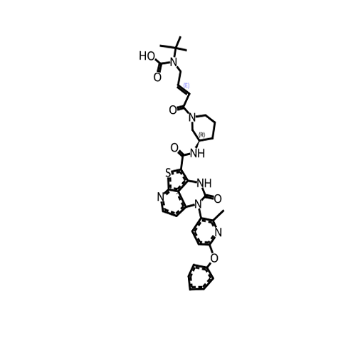 Cc1nc(Oc2ccccc2)ccc1N1C(=O)Nc2c(C(=O)N[C@@H]3CCCN(C(=O)/C=C/CN(C(=O)O)C(C)(C)C)C3)sc3nccc1c23